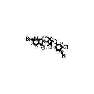 CC1(C)[C@H](Oc2ccc(C#N)c(Cl)c2)C(C)(C)[C@H]1N1Cc2nc(Br)ccc2C1=O